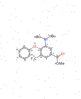 CCCCN(CCCC)c1cc(C(=O)OC)cc(C(F)(F)F)c1Oc1ccccc1